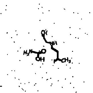 C#CCNCCC(C)I.NC(=O)O